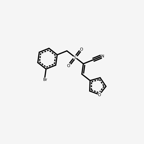 N#CC(=Cc1ccoc1)S(=O)(=O)Cc1cccc(Br)c1